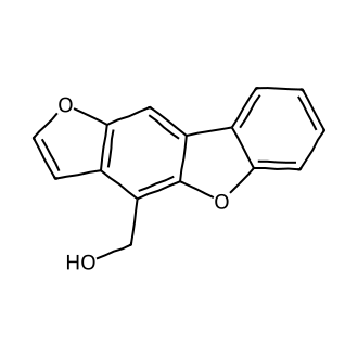 OCc1c2ccoc2cc2c1oc1ccccc12